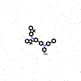 CC(C)(C)c1ccc(N(c2ccc(-c3ccccc3)cc2)c2ccc(-c3ccc4c(c3)c3c(n4-c4ccc5c(c4)C(C)(C)c4ccccc4-5)-c4ccccc4C3(C)C)cc2)cc1